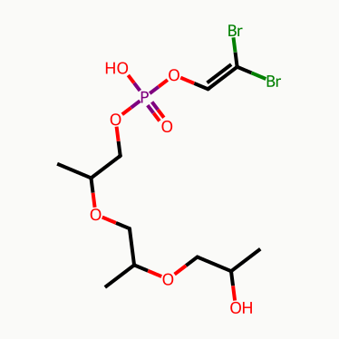 CC(O)COC(C)COC(C)COP(=O)(O)OC=C(Br)Br